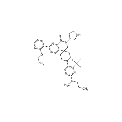 CCCN(C)c1ccc(N2CCC3(CC2)CN(C2CCNC2)C(=O)c2nc(-c4cccnc4OCC)ccc23)c(C(F)(F)F)n1